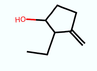 C=C1CCC(O)C1CC